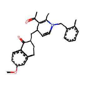 COc1ccc2c(c1)CCC(CC1C=CN(Cc3ccccc3C)C(C)=C1C(C)=O)C2=O